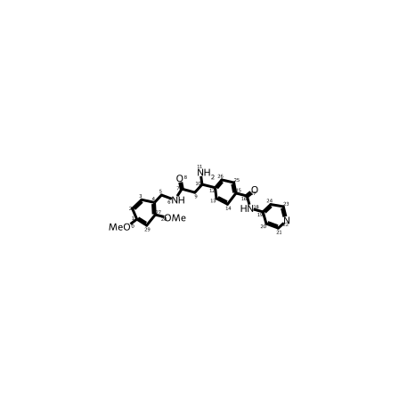 COc1ccc(CNC(=O)CC(N)c2ccc(C(=O)Nc3ccncc3)cc2)c(OC)c1